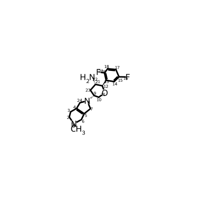 CN1CCC2=C(C1)CN([C@H]1CO[C@H](c3cc(F)ccc3F)[C@@H](N)C1)C2